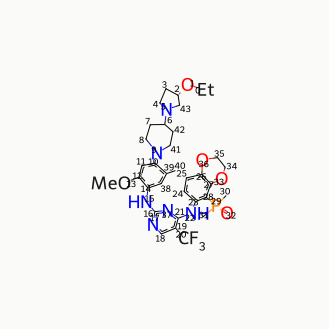 CCO[C@H]1CCN(C2CCN(c3cc(OC)c(Nc4ncc(C(F)(F)F)c(Nc5ccc6c(c5P(C)(C)=O)OCCO6)n4)cc3C)CC2)C1